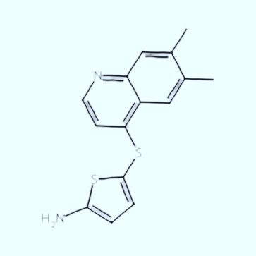 Cc1cc2nccc(Sc3ccc(N)s3)c2cc1C